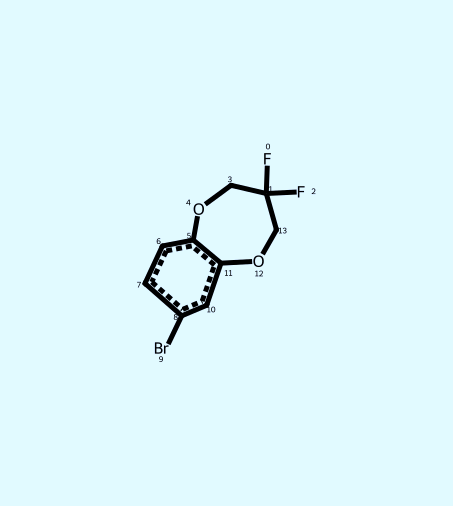 FC1(F)COc2ccc(Br)cc2OC1